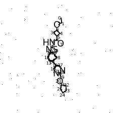 CCOC1CC(C(=O)Nc2nc3ccc(-c4cnc(COC5CCCC5)nc4)cc3s2)C1